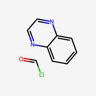 O=CCl.c1ccc2nccnc2c1